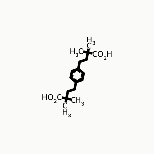 CC(C)(CCc1ccc(CCC(C)(C)C(=O)O)cc1)C(=O)O